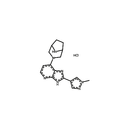 Cl.Cn1cc(-c2nc3c(N4CC5CCC(C4)N5)ccnc3[nH]2)cn1